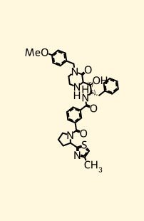 COc1ccc(CN2CCNC([C@@H](O)[C@H](Cc3ccccc3)NC(=O)c3cccc(C(=O)N4CCCC4c4nc(C)cs4)c3)C2=O)cc1